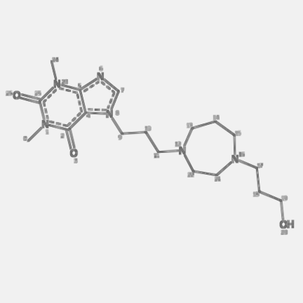 Cn1c(=O)c2c(ncn2CCCN2CCCN(CCCO)CC2)n(C)c1=O